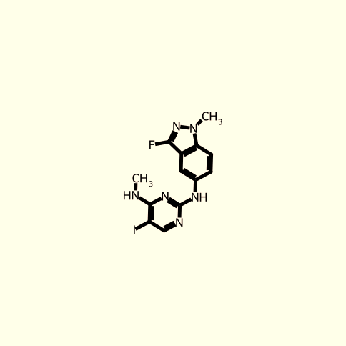 CNc1nc(Nc2ccc3c(c2)c(F)nn3C)ncc1I